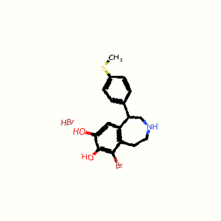 Br.CSc1ccc(C2CNCCc3c2cc(O)c(O)c3Br)cc1